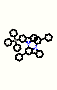 c1ccc(-c2cccc(-n3c4ccccc4c4cc(-c5ccccc5)cc(-n5c6ccccc6c6ccc([Si](c7ccccc7)(c7ccccc7)c7ccccc7)cc65)c43)c2)cc1